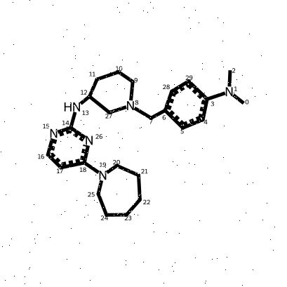 CN(C)c1ccc(CN2CCCC(Nc3nccc(N4CCCCCC4)n3)C2)cc1